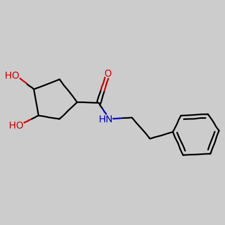 O=C(NCCc1ccccc1)C1CC(O)C(O)C1